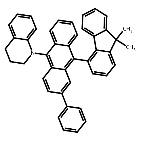 CC1(C)c2ccccc2-c2c(-c3c4ccccc4c(N4CCCc5ccccc54)c4ccc(-c5ccccc5)cc34)cccc21